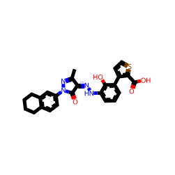 CC1=NN(c2ccc3c(c2)CCCC3)C(=O)/C1=N\Nc1cccc(-c2ccsc2C(=O)O)c1O